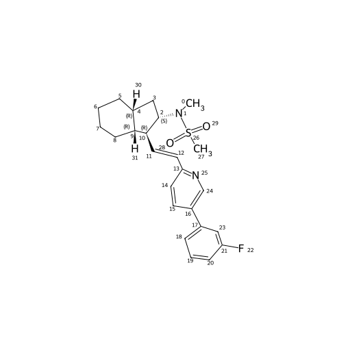 CN([C@H]1C[C@H]2CCCC[C@H]2[C@@H]1C=Cc1ccc(-c2cccc(F)c2)cn1)S(C)(=O)=O